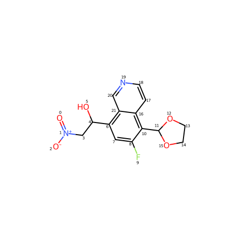 O=[N+]([O-])CC(O)c1cc(F)c(C2OCCO2)c2ccncc12